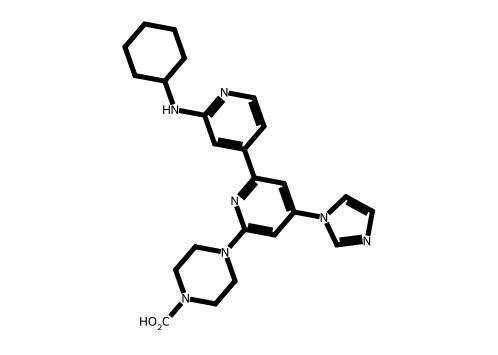 O=C(O)N1CCN(c2cc(-n3ccnc3)cc(-c3ccnc(NC4CCCCC4)c3)n2)CC1